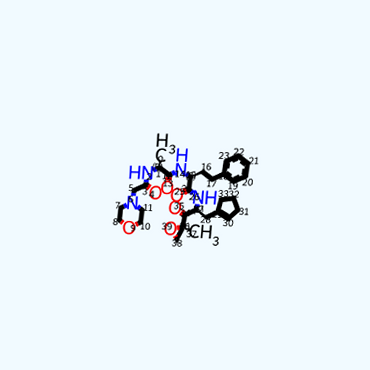 C[C@@H](NC(=O)CN1CCOCC1)C(=O)N[C@@H](CCc1ccccc1)C(=O)N[C@@H](CC1=CCCC1)C(=O)[C@@]1(C)CO1